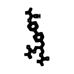 C=C(C)C(=O)OCC(COC(=O)C(=C)C)Cc1ccc(-c2ccc(OC(O)C(=C)C)cc2)cc1